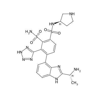 C[C@@H](N)c1nc2c(-c3ccc(S(=O)(=O)N[C@@H]4CCNC4)c(S(N)(=O)=O)c3-c3nn[nH]n3)cccc2[nH]1